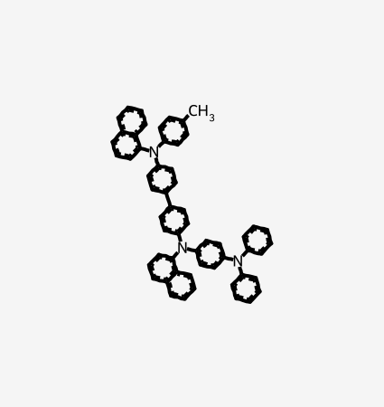 Cc1ccc(N(c2ccc(-c3ccc(N(c4ccc(N(c5ccccc5)c5ccccc5)cc4)c4cccc5ccccc45)cc3)cc2)c2cccc3ccccc23)cc1